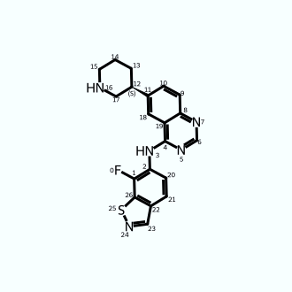 Fc1c(Nc2ncnc3ccc([C@@H]4CCCNC4)cc23)ccc2cnsc12